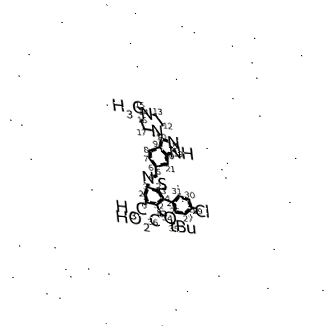 Cc1cc2nc(-c3ccc4c(N5CCN(C)CC5)n[nH]c4c3)sc2c(-c2ccc(Cl)cc2)c1[C@H](OC(C)(C)C)C(=O)O